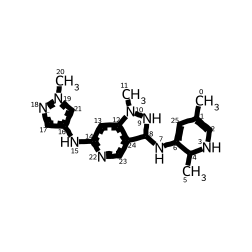 CC1=CNC(C)C(NC2NN(C)c3cc(Nc4cnn(C)c4)ncc32)=C1